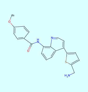 CC(C)Oc1ccc(C(=O)Nc2cccc3c(-c4ccc(CN)s4)ccnc23)cc1